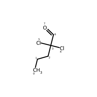 CCCC(Cl)(Cl)C=O